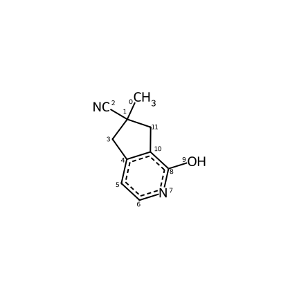 CC1(C#N)Cc2ccnc(O)c2C1